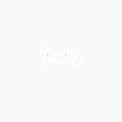 CC(C)(C)OC(=O)N1CCC(Sc2ccccc2Cl)CC1